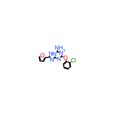 Nc1nc(Oc2ccccc2Cl)nc2nc(-c3ccco3)nn12